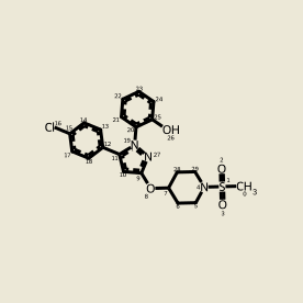 CS(=O)(=O)N1CCC(Oc2cc(-c3ccc(Cl)cc3)n(-c3ccccc3O)n2)CC1